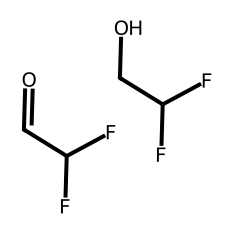 O=CC(F)F.OCC(F)F